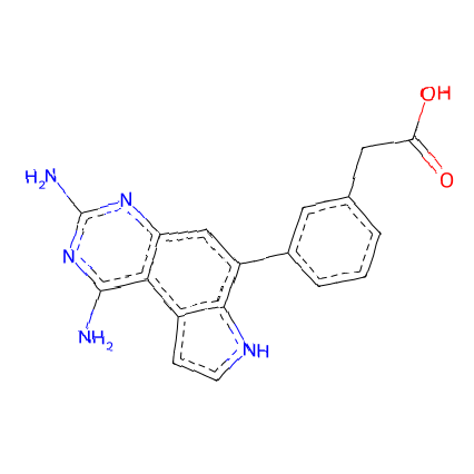 Nc1nc(N)c2c(cc(-c3cccc(CC(=O)O)c3)c3[nH]ccc32)n1